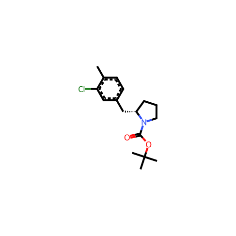 Cc1ccc(C[C@@H]2CCCN2C(=O)OC(C)(C)C)cc1Cl